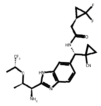 C[C@@H](O[C@H](C)C(F)(F)F)[C@H](N)c1nc2ccc([C@H](NC(=O)C[C@H]3CC3(F)F)C3(C#N)CC3)cc2[nH]1